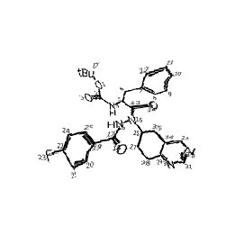 CC(C)(C)OC(=O)NC(Cc1ccccc1)C(=O)N(NC(=O)c1ccc(F)cc1)C1CCc2ncncc2C1